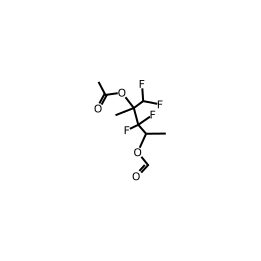 CC(=O)OC(C)(C(F)F)C(F)(F)C(C)OC=O